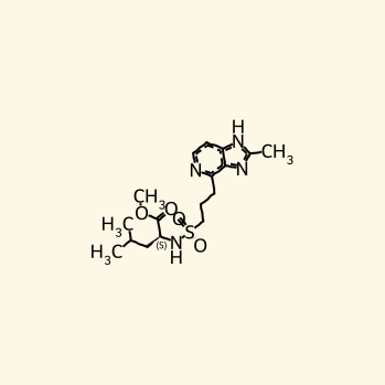 COC(=O)[C@H](CC(C)C)NS(=O)(=O)CCCc1nccc2[nH]c(C)nc12